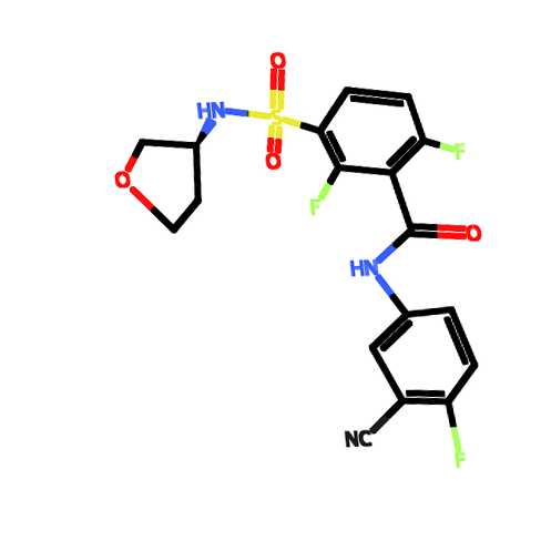 N#Cc1cc(NC(=O)c2c(F)ccc(S(=O)(=O)N[C@H]3CCOC3)c2F)ccc1F